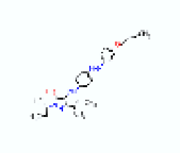 CCCCOc1ccc(N=Nc2ccc(N=Nc3c(C(C)CC)nn(C(C)CC)c3O)cc2)cc1